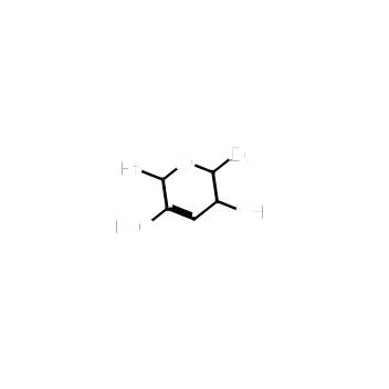 CCC1OC(CC)C(C)C=C1C